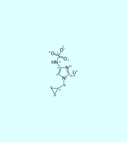 O=S(=O)([O-])Nc1cn(CC2CC2)cn1.[Li+]